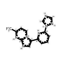 FC(F)(F)c1ccn2c(-c3cccc(-n4cncn4)n3)cnc2n1